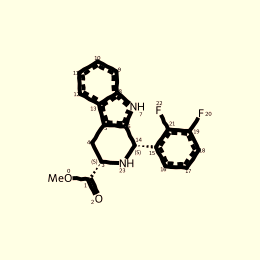 COC(=O)[C@@H]1Cc2c([nH]c3ccccc23)[C@H](c2cccc(F)c2F)N1